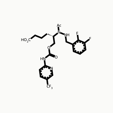 CC(=O)N(NCc1cccc(F)c1F)[C@@H](CCCC(=O)O)COC(=O)Nc1ccc(C(F)(F)F)cn1